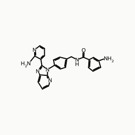 Nc1cccc(C(=O)NCc2ccc(-n3c(-c4cccnc4N)nc4cccnc43)cc2)c1